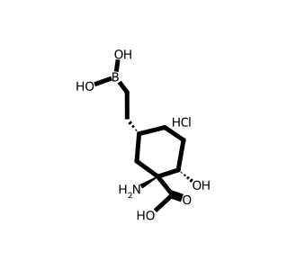 Cl.N[C@@]1(C(=O)O)C[C@H](CCB(O)O)CC[C@@H]1O